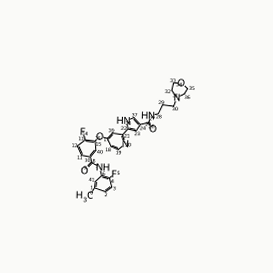 Cc1ccc(F)c(NC(=O)c2ccc(F)c(Oc3ccnc(-c4cc(C(=O)NCCCN5CCOCC5)c[nH]4)c3)c2)c1